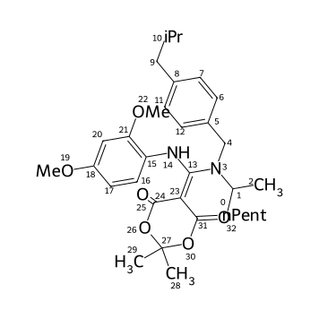 CCCCCC(C)N(Cc1ccc(CC(C)C)cc1)C(Nc1ccc(OC)cc1OC)=C1C(=O)OC(C)(C)OC1=O